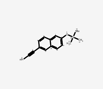 CCCC#Cc1ccc2cc(O[Si](C)(C)C(C)(C)C)ccc2c1